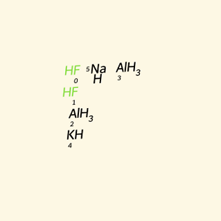 F.F.[AlH3].[AlH3].[KH].[NaH]